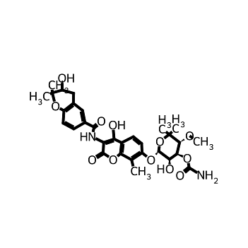 CO[C@@H]1[C@@H](OC(N)=O)[C@@H](O)[C@H](Oc2ccc3c(O)c(NC(=O)c4ccc5c(c4)CC(O)C(C)(C)O5)c(=O)oc3c2C)OC1(C)C